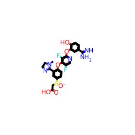 CN1CC=NC1c1cc([S+]([O-])CC(=O)O)ccc1Oc1c(F)cnc(Oc2cc(C(=N)N)ccc2O)c1F